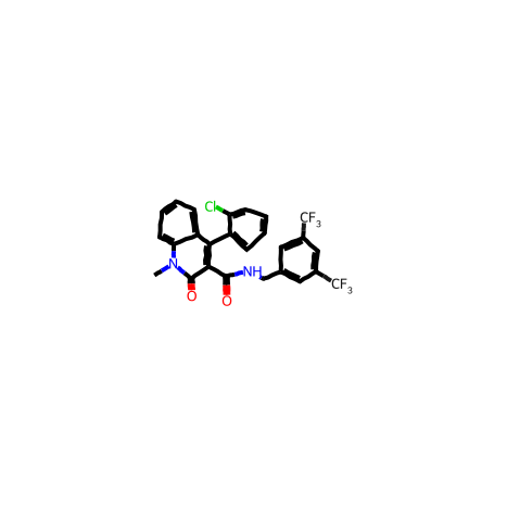 Cn1c(=O)c(C(=O)NCc2cc(C(F)(F)F)cc(C(F)(F)F)c2)c(-c2ccccc2Cl)c2ccccc21